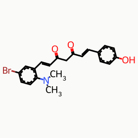 CN(C)c1ccc(Br)cc1C=CC(=O)CC(=O)C=Cc1ccc(O)cc1